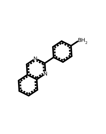 Bc1ccc(-c2ncc3ccccc3n2)cc1